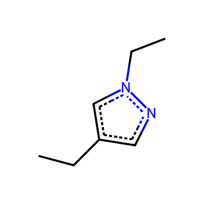 CCc1cnn(CC)c1